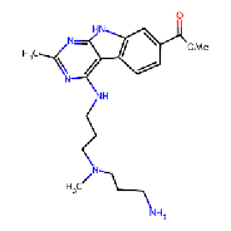 COC(=O)c1ccc2c(c1)[nH]c1nc(C)nc(NCCCN(C)CCCN)c12